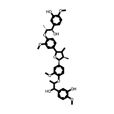 COc1ccc(C(O)C(C)Oc2ccc([C@H]3OC(c4ccc(O[C@H](C)[C@H](O)c5ccc(OC)c(O)c5)c(OC)c4)C(C)[C@H]3C)cc2OC)cc1O